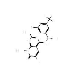 Cc1nc(N[C@H](C)c2cc(N)cc(C(F)(F)F)c2)c2cc(Br)c(=O)n(C)c2n1